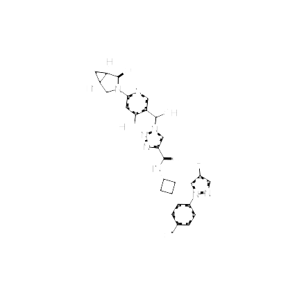 Cc1cc(N2C[C@H]3C[C@H]3C2=O)ncc1C(C)n1cc(C(=O)N[C@H]2C[C@@H](c3cc(Cl)ccc3-n3cc(F)cn3)C2)nn1